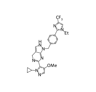 CCn1cc(C(F)(F)F)nc1-c1ccc(CN2NC=C3CN=C(c4c(OC)cnn4C4CC4)N=C32)cc1